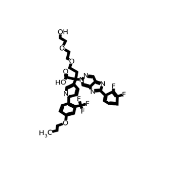 CCCOc1ccc(-c2ccc(C(CCOCCOCCO)(C(=O)O)n3cc4nc(-c5cccc(F)c5F)nc-4cn3)cn2)c(C(F)(F)F)c1